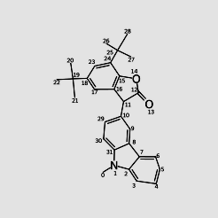 Cn1c2ccccc2c2cc(C3C(=O)Oc4c3cc(C(C)(C)C)cc4C(C)(C)C)ccc21